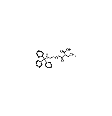 CCC(C(=O)O)C(=O)COCCNC(c1ccccc1)(c1ccccc1)c1ccccc1